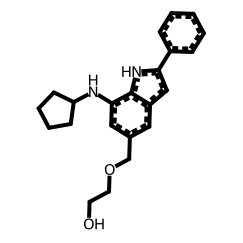 OCCOCc1cc(NC2CCCC2)c2[nH]c(-c3ccccc3)cc2c1